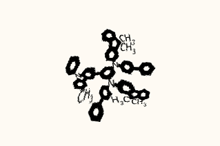 Cc1ccc2c(c1)c1cc(-c3cc(N(c4ccc(-c5ccccc5)cc4)c4ccc5c(c4)C(C)(C)c4ccccc4-5)cc(N(c4ccc(-c5ccccc5)cc4)c4ccc5c(c4)C(C)(C)c4ccccc4-5)c3)ccc1n2-c1ccccc1